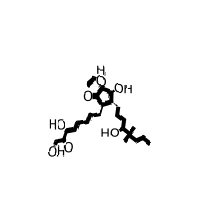 C=CO.CCCC(C)(C)C(O)CCC[C@H]1[C@H](O)CC(=O)[C@@H]1CCCCC=C(O)C(=O)CO